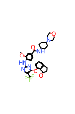 COc1cc(C(=O)NC2CCC(N3CCOCC3)CC2)ccc1Nc1ncc(C(F)(F)F)c(Oc2cccc3c2C(=O)CC3)n1